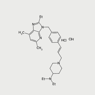 CCc1nc2c(C)cc(C)nc2n1Cc1ccc(C=CCN2CCC(N(CC)CC)CC2)cc1.Cl.Cl